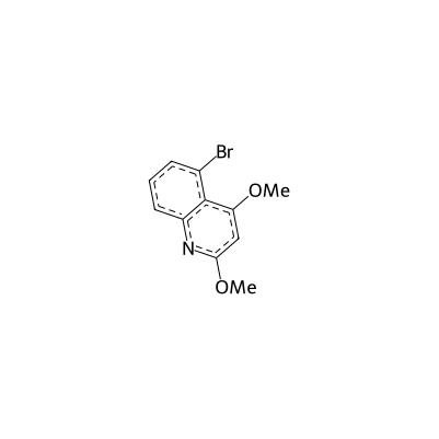 COc1cc(OC)c2c(Br)cccc2n1